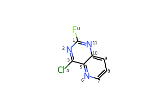 Fc1nc(Cl)c2ncccc2n1